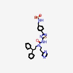 O=C(Nc1nc(-c2ccc(CN[SH](=O)=O)cc2)ns1)N(CCc1cnccn1)CCC(c1ccccc1)c1ccccc1